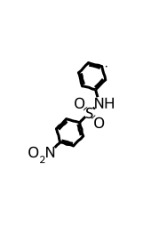 O=[N+]([O-])c1ccc(S(=O)(=O)Nc2c[c]ccc2)cc1